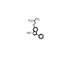 CC(C)COc1ccc2c(-c3cccnc3)csc2c1.Cl